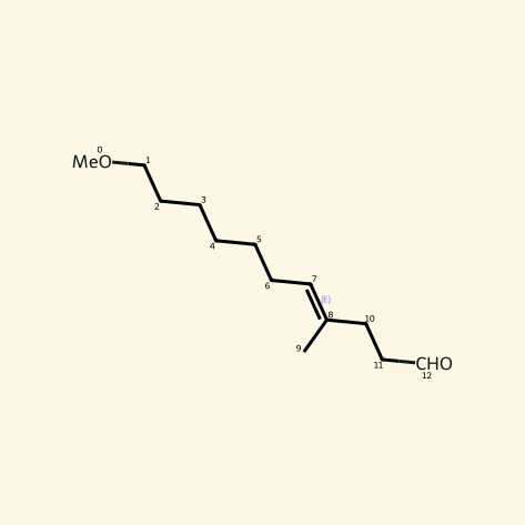 COCCCCCC/C=C(\C)CCC=O